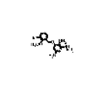 COc1c(Br)cccc1COc1cc(N)nc(NN)c1N